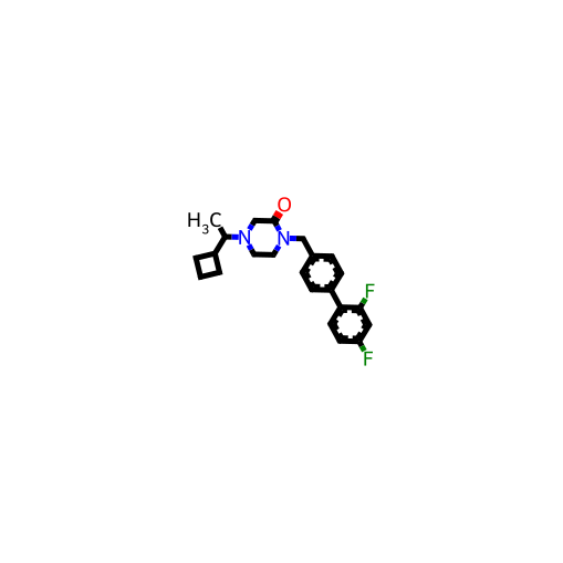 CC(C1CCC1)N1CCN(Cc2ccc(-c3ccc(F)cc3F)cc2)C(=O)C1